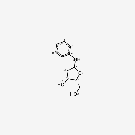 OC[C@H]1OC(Nc2ccccc2)C[C@@H]1O